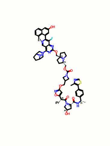 CCc1cccc2cc(O)cc(-c3ncc4c(N5CC6CCC(C5)N6)nc(OC[C@@]56CCCN5[C@H](COC(=O)N5CC(COc7cc([C@H](C(=O)N8C[C@H](O)C[C@H]8C(=O)N[C@@H](C)c8ccc(-c9scnc9C)cc8)C(C)C)on7)C5)CC6)nc4c3F)c12